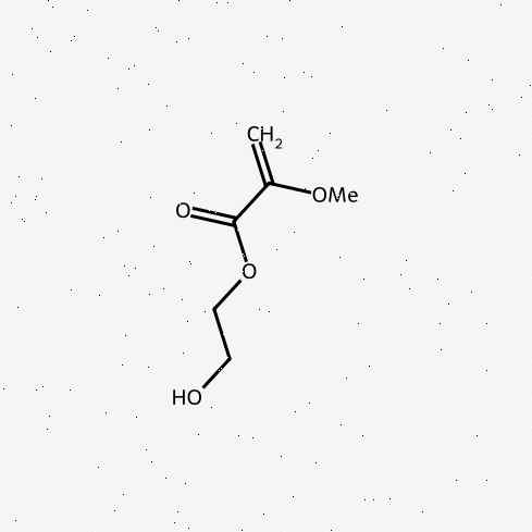 C=C(OC)C(=O)OCCO